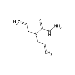 C=CCN(CC=C)C(=S)NN